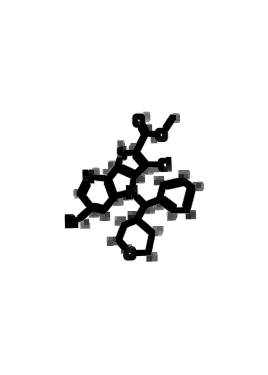 COC(=O)c1sc2c3ncc(Br)cc3n(C(c3ccccc3)C3CCOCC3)c2c1Cl